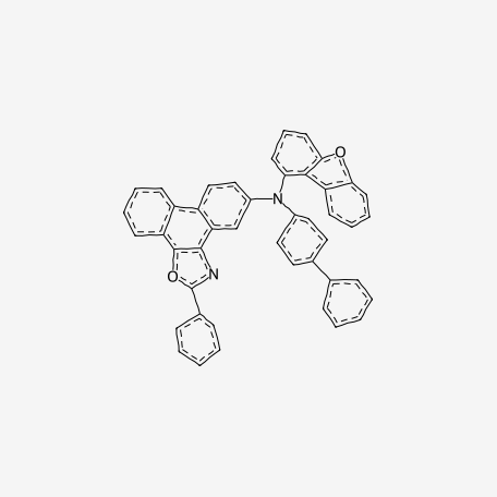 c1ccc(-c2ccc(N(c3ccc4c5ccccc5c5oc(-c6ccccc6)nc5c4c3)c3cccc4oc5ccccc5c34)cc2)cc1